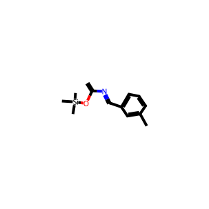 C=C(/N=C/c1cccc(C)c1)O[Si](C)(C)C